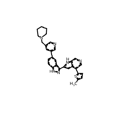 Cc1ccc(-c2cncc3[nH]c(-c4n[nH]c5ccc(-c6cncc(CN7CCCCC7)c6)cc45)cc23)s1